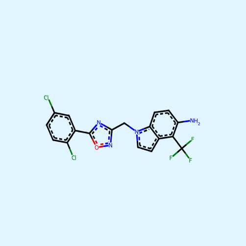 Nc1ccc2c(ccn2Cc2noc(-c3cc(Cl)ccc3Cl)n2)c1C(F)(F)F